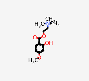 COc1ccc(C(=O)OCC[N+](C)(C)C)c(O)c1